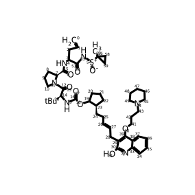 C=CCC(NC(=O)[C@@H]1CCCN1C(=O)[C@@H](NC(=O)OC1CCC[C@H]1CC/C=C/Cc1c(O)nc2ccccc2c1OCCCN1CCCCC1)C(C)(C)C)C(=O)N[S+]([O-])C1(C)CC1